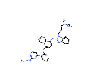 CNc1nccc(-c2cccnc2Oc2ccc(Nc3nc4ccccc4n3CCCN(C)C)c3ccccc23)n1